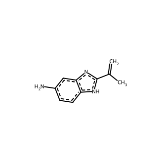 C=C(C)c1nc2cc(N)ccc2[nH]1